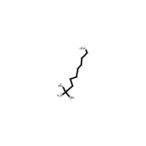 CCCCCCCCCCCCCCCCCC(N)(CCCC)CCCC